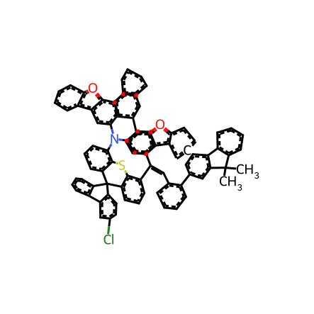 CC1(C)c2ccccc2-c2ccc(-c3ccccc3/C=C(\c3cccc4c3Sc3c(N(c5ccccc5)c5cc(-c6ccccc6)c6oc7ccccc7c6c5)cccc3C43c4ccccc4-c4cc(Cl)ccc43)c3ccc(-c4ccccc4)c4oc5ccccc5c34)cc21